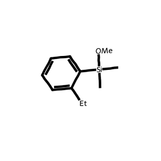 CCc1ccccc1[Si](C)(C)OC